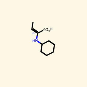 C/C=C(/NC1CCCCC1)S(=O)(=O)O